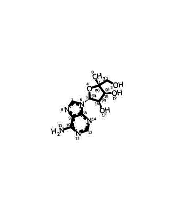 C[C@]1(CO)O[C@@H](n2cnc3c(N)ncnc32)[C@H](O)[C@@H]1O